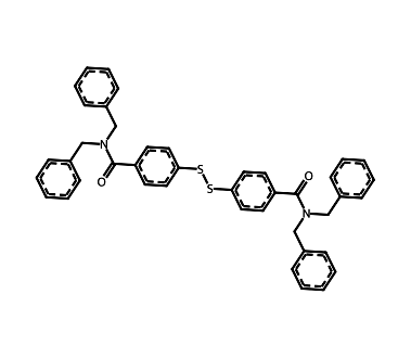 O=C(c1ccc(SSc2ccc(C(=O)N(Cc3ccccc3)Cc3ccccc3)cc2)cc1)N(Cc1ccccc1)Cc1ccccc1